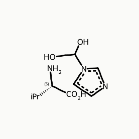 CC(C)[C@H](N)C(=O)O.OC(O)n1ccnc1